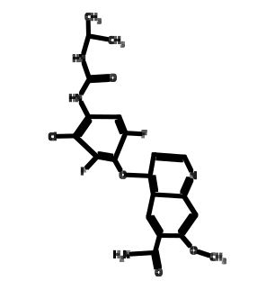 COc1cc2nccc(Oc3c(F)cc(NC(=O)NC(C)C)c(Cl)c3F)c2cc1C(N)=O